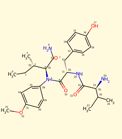 CC[C@H](C)[C@@H](C(N)=O)N(C(=O)[C@H](Cc1ccc(O)cc1)NC(=O)[C@@H](N)C(C)C)c1ccc(OC)cc1